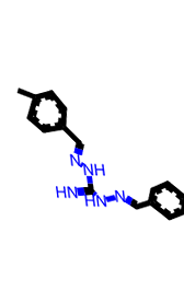 Cc1ccc(/C=N/NC(=N)N/N=C/c2ccc(C)cc2)cc1